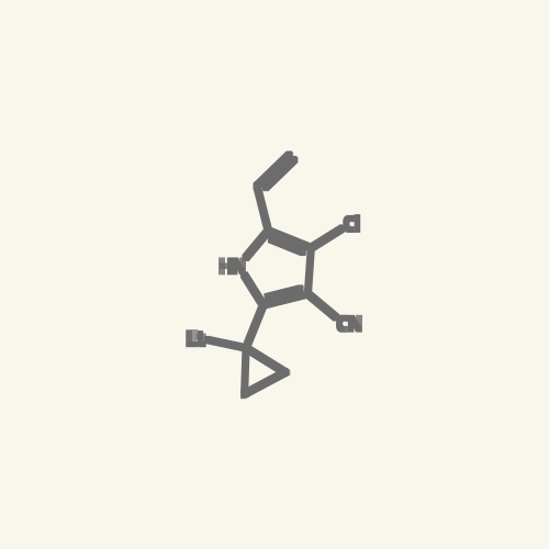 C=Cc1[nH]c(C2(CC)CC2)c(C#N)c1Cl